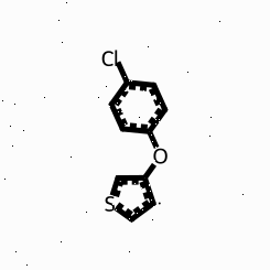 Clc1ccc(Oc2[c]csc2)cc1